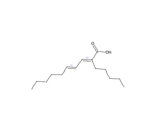 CCCCC/C=C/C=C(\CCCCC)C(=O)O